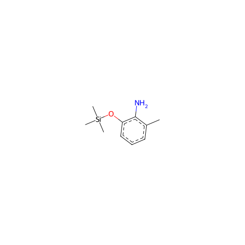 Cc1cccc(O[Si](C)(C)C)c1N